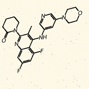 Cc1c(N2CCCCC2=O)nc2cc(F)cc(F)c2c1Nc1cncc(N2CCOCC2)c1